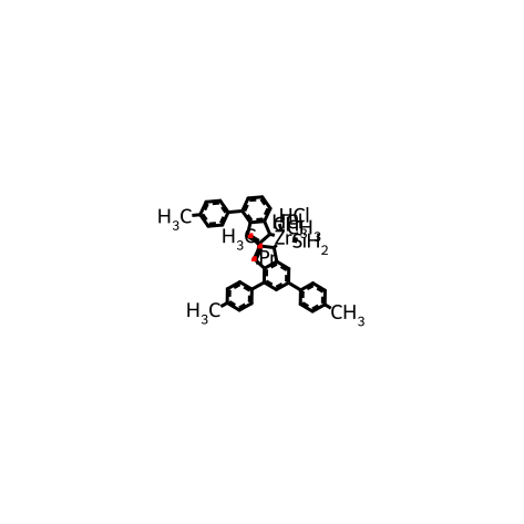 CC1=Cc2c(-c3ccc(C)cc3)cc(-c3ccc(C)cc3)cc2[CH]1[Zr]([CH3])([CH3])(=[SiH2])[CH]1C(C(C)C)=Cc2c(-c3ccc(C)cc3)cccc21.Cl.Cl